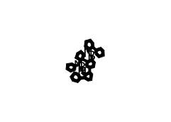 c1ccc(N2B3c4c(ccc5c4-c4c2cccc4N2B5c4ccccc4-c4ccccc42)-c2cccc4c5ccccc5n3c24)cc1